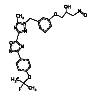 Cc1nc(-c2nc(-c3ccc(OC(C)(C)F)cc3)no2)nn1Cc1cccc(OCC(O)CN=O)c1